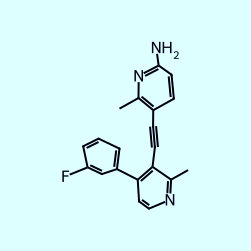 Cc1nc(N)ccc1C#Cc1c(-c2cccc(F)c2)ccnc1C